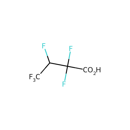 O=C(O)C(F)(F)C(F)C(F)(F)F